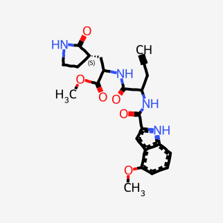 C#CCC(NC(=O)c1cc2c(OC)cccc2[nH]1)C(=O)NC(C[C@@H]1CCNC1=O)C(=O)OC